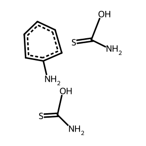 NC(O)=S.NC(O)=S.Nc1ccccc1